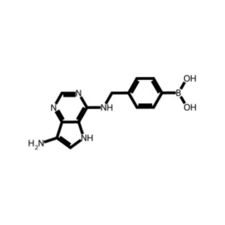 Nc1c[nH]c2c(NCc3ccc(B(O)O)cc3)ncnc12